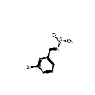 CC(C)(C)[S@+]([O-])N=Cc1cccc(Br)c1